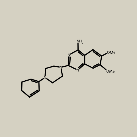 COc1cc2nc(N3CCN(C4=CCCC=C4)CC3)nc(N)c2cc1OC